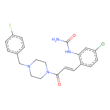 NC(=O)Nc1cc(Cl)ccc1/C=C/C(=O)N1CCN(Cc2ccc(F)cc2)CC1